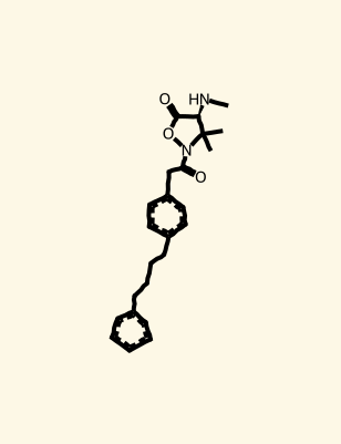 CN[C@@H]1C(=O)ON(C(=O)Cc2ccc(CCCCc3ccccc3)cc2)C1(C)C